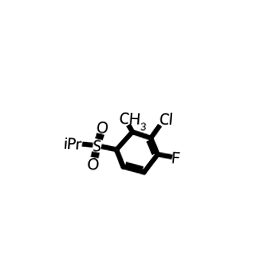 CC1C(Cl)=C(F)C=CC1S(=O)(=O)C(C)C